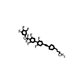 C=CCCc1ccc(C#Cc2cc(F)c(-c3cc(F)c(C(F)(F)Oc4cc(F)c(F)c(F)c4)c(F)c3)c(F)c2)cc1